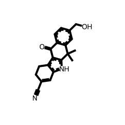 CC1(C)c2cc(CO)ccc2C(=O)c2c1[nH]c1c2CCC(C#N)=C1